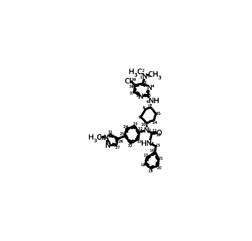 CN(C)c1nc(N[C@H]2CC[C@H](N(C(=O)NCc3ccccc3)c3ccc(-c4cnn(C)c4)cc3)CC2)ncc1Cl